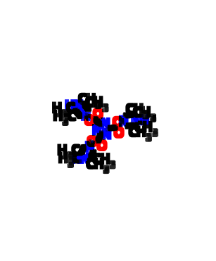 CC1(C)CN(OC(=O)c2nc(C(=O)ON3CC(C)(C)NC(C)(C)C3)nc(C(=O)ON3CC(C)(C)NC(C)(C)C3)n2)CC(C)(C)N1